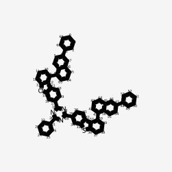 c1ccc(-c2ccc3c(-c4cccc5oc6cc(-c7nc(-c8ccccc8)nc(-c8ccc9c(c8)sc8cccc(-c%10cccc%11cc(-c%12ccccc%12)ccc%10%11)c89)n7)ccc6c45)cccc3c2)cc1